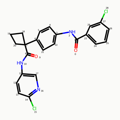 O=C(Nc1ccc(C2(C(=O)Nc3ccc(Cl)nc3)CCC2)cc1)c1cccc(Cl)c1